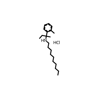 CCCCCCCCCCNC(C)(CC)c1ccccc1C.Cl